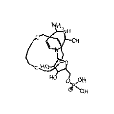 NC1NC(O)C23CCCCCCCCCCCCC1(C=CN2C1OC(COP(=O)(O)O)C(O)C1O)C3